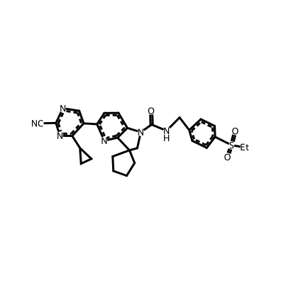 CCS(=O)(=O)c1ccc(CNC(=O)N2CC3(CCCC3)c3nc(-c4cnc(C#N)nc4C4CC4)ccc32)cc1